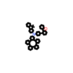 CC1(C)c2ccccc2-c2ccc(N(c3ccc(-c4cccc5oc6ccccc6c45)cc3)c3ccc4c5ccccc5c5ccccc5c5ccccc5c5ccccc5c4c3)cc21